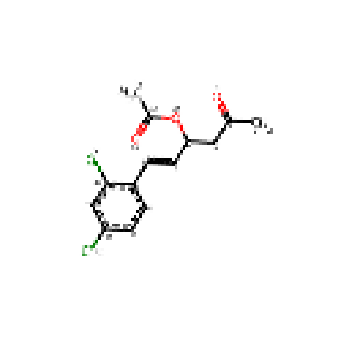 CC(=O)CC(C=Cc1ccc(Cl)cc1Cl)OC(C)=O